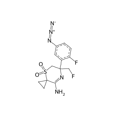 [N-]=[N+]=Nc1ccc(F)c(C2(CF)CS(=O)(=O)C3(CC3)C(N)=N2)c1